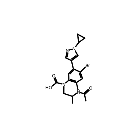 CC(=O)N1c2cc(Br)c(-c3cnn(C4CC4)c3)cc2N(C(=O)O)CC1C